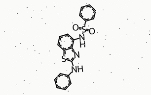 O=S(=O)(Nc1cccc2sc(Nc3ccccc3)nc12)c1ccccc1